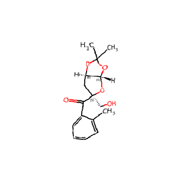 Cc1ccccc1C(=O)[C@@]1(CO)C[C@H]2OC(C)(C)O[C@@H]2O1